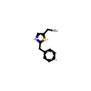 CC(C)(C)Cc1cnc(Cc2ccccc2)s1